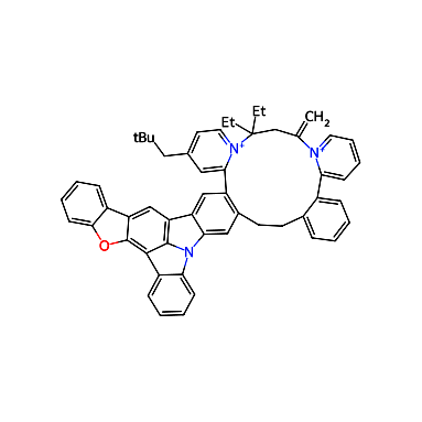 C=C1CC(CC)(CC)[n+]2ccc(CC(C)(C)C)cc2-c2cc3c4cc5c6ccccc6oc5c5c6ccccc6n(c3cc2CCc2ccccc2-c2cccc[n+]21)c45